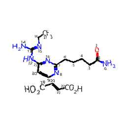 NC(=O)CCCCc1nccc(NC(N)=NCC(F)(F)F)n1.O=C(O)C=CC(=O)O